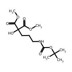 COC(=O)C(O)(CCCNC(=O)OC(C)(C)C)C(=O)OC